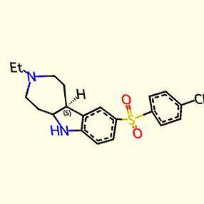 CCN1CCC2Nc3ccc(S(=O)(=O)c4ccc(C(F)(F)F)cc4)cc3[C@@H]2CC1